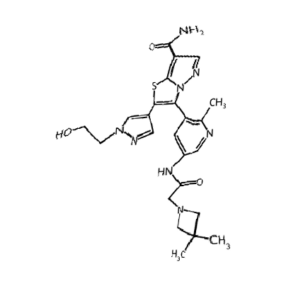 Cc1ncc(NC(=O)CN2CC(C)(C)C2)cc1-c1c(-c2cnn(CCO)c2)sc2c(C(N)=O)cnn12